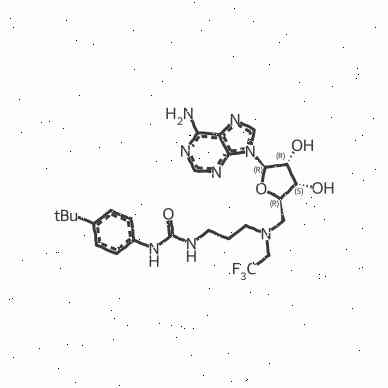 CC(C)(C)c1ccc(NC(=O)NCCCN(C[C@H]2O[C@@H](n3cnc4c(N)ncnc43)[C@H](O)[C@@H]2O)CC(F)(F)F)cc1